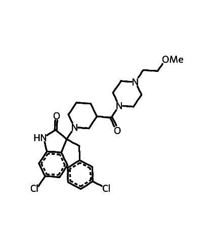 COCCN1CCN(C(=O)C2CCCN(C3(Cc4cccc(Cl)c4)C(=O)Nc4cc(Cl)ccc43)C2)CC1